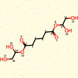 O=C(CCCCC(=O)OC(O)CO)OC(O)CO